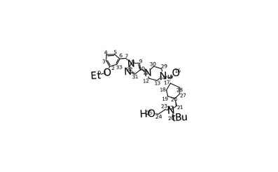 CCOc1cccc(Cn2cc(N3CCN(C(=O)[C@H]4CC[C@H](CN(CCO)C(C)(C)C)CC4)CC3)cn2)c1